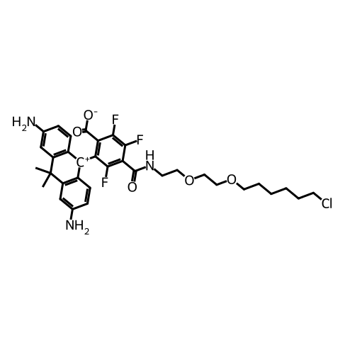 CC1(C)c2cc(N)ccc2[C+](c2c(F)c(C(=O)NCCOCCOCCCCCCCl)c(F)c(F)c2C(=O)[O-])c2ccc(N)cc21